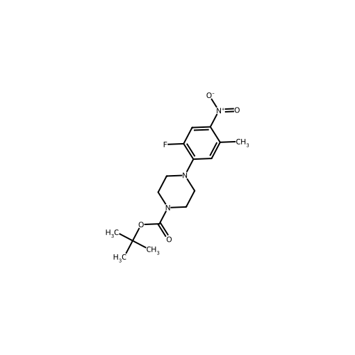 Cc1cc(N2CCN(C(=O)OC(C)(C)C)CC2)c(F)cc1[N+](=O)[O-]